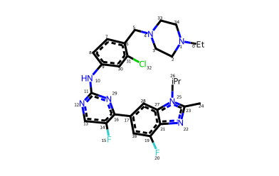 CCN1CCN(Cc2ccc(Nc3ncc(F)c(-c4cc(F)c5nc(C)n(C(C)C)c5c4)n3)cc2Cl)CC1